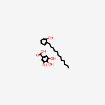 CCCCCCCCCCCCc1ccccc1O.O=C(O)c1cc(O)c(O)c(O)c1